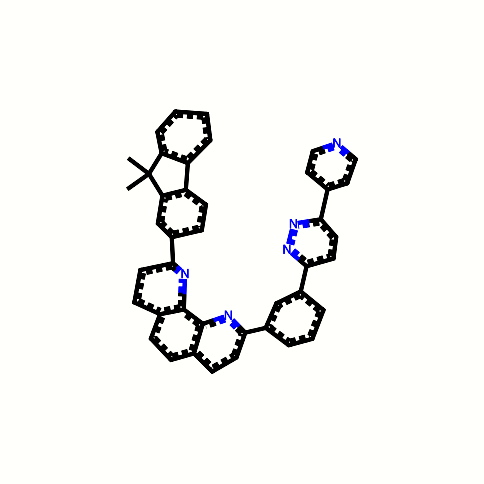 CC1(C)c2ccccc2-c2ccc(-c3ccc4ccc5ccc(-c6cccc(-c7ccc(-c8ccncc8)nn7)c6)nc5c4n3)cc21